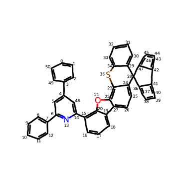 c1ccc(-c2cc(-c3ccccc3)nc(-c3cccc4c3oc3c5c(ccc34)C3(c4ccccc4S5)c4ccccc4-c4ccccc43)c2)cc1